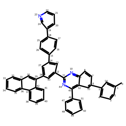 Cc1cccc(-c2ccc3nc(-c4cc(-c5ccc(-c6cccnc6)cc5)cc(-c5cc6ccccc6c6ccccc56)c4)nc(-c4ccccc4)c3c2)c1